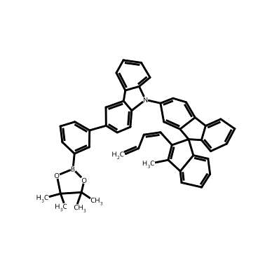 C=C/C=C\C1=C(C)c2ccccc2C12c1ccccc1-c1ccc(-n3c4ccccc4c4cc(-c5cccc(B6OC(C)(C)C(C)(C)O6)c5)ccc43)cc12